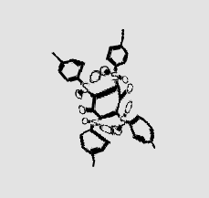 Cc1ccc(S(=O)(=O)C2=C(S(=O)(=O)c3ccc(C)cc3)C(=O)C(S(=O)(=O)c3ccc(C)cc3)=C(S(=O)(=O)c3ccc(C)cc3)C2=O)cc1